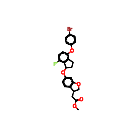 COC(=O)C[C@@H]1COc2cc(O[C@@H]3CCc4c(Oc5ccc(Br)cc5)ccc(F)c43)ccc21